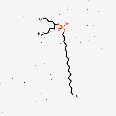 CCCCCCCCCCCCCCCCCCOP(=O)(O)OC(CCCC)CCCC